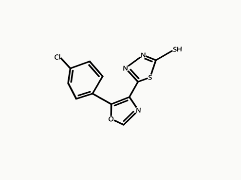 Sc1nnc(-c2ncoc2-c2ccc(Cl)cc2)s1